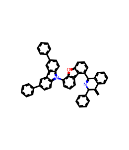 C=C1c2ccccc2C(c2cccc3oc4c(-n5c6ccc(-c7ccccc7)cc6c6cc(-c7ccccc7)ccc65)cccc4c23)=NC1c1ccccc1